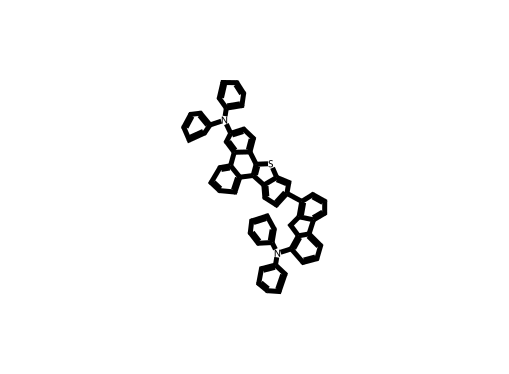 c1ccc(N(c2ccccc2)c2ccc3c(c2)c2ccccc2c2c4ccc(-c5cccc6c5Cc5c-6cccc5N(c5ccccc5)c5ccccc5)cc4sc32)cc1